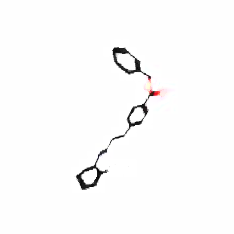 O=C(OCc1ccccc1)c1ccc(CC/C=C/c2ccccc2C(=O)O)cc1